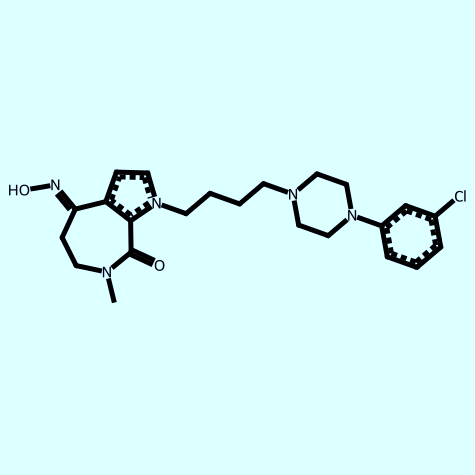 CN1CCC(=NO)c2ccn(CCCCN3CCN(c4cccc(Cl)c4)CC3)c2C1=O